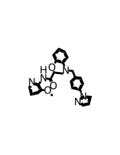 COc1cccnc1NC(=O)C1CN(Cc2ccc(-n3cccn3)cc2)c2ccccc2O1